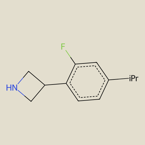 CC(C)c1ccc(C2CNC2)c(F)c1